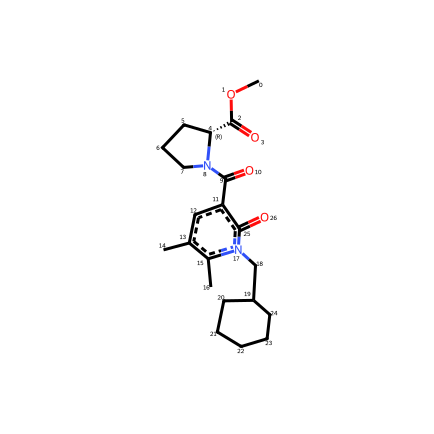 COC(=O)[C@H]1CCCN1C(=O)c1cc(C)c(C)n(CC2CCCCC2)c1=O